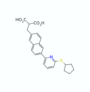 O=C(O)C(Cc1ccc2cc(-c3cccc(SC4CCCC4)n3)ccc2c1)C(=O)O